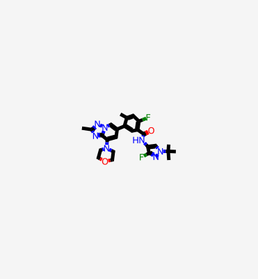 Cc1nc2c(N3CCOCC3)cc(-c3cc(C(=O)Nc4cn(C(C)(C)C)nc4F)c(F)cc3C)cn2n1